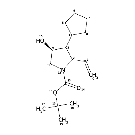 C=C[C@H]1C(C2CCCC2)[C@H](O)CN1C(=O)OC(C)(C)C